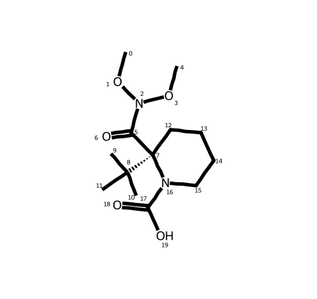 CON(OC)C(=O)[C@@]1(C(C)(C)C)CCCCN1C(=O)O